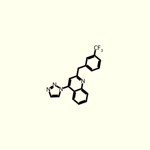 FC(F)(F)c1cccc(Cc2cc(-n3ccnn3)c3ccccc3n2)c1